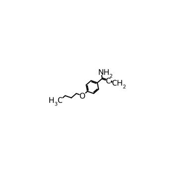 C=C=C(N)c1ccc(OCCCC)cc1